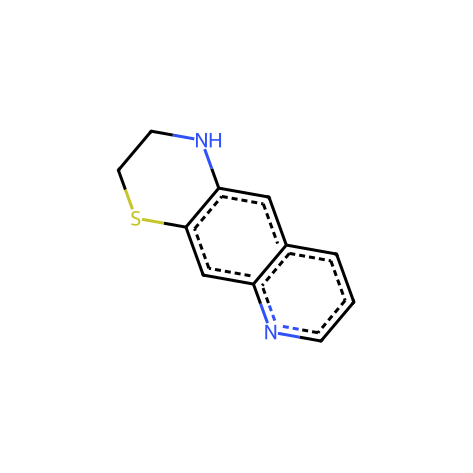 c1cnc2cc3c(cc2c1)NCCS3